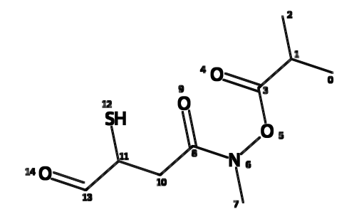 CC(C)C(=O)ON(C)C(=O)CC(S)C=O